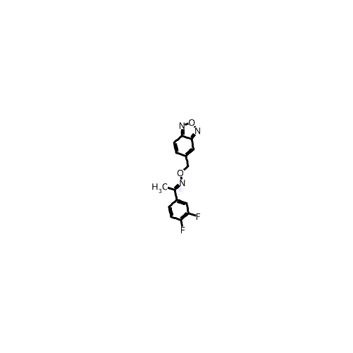 C/C(=N\OCc1ccc2nonc2c1)c1ccc(F)c(F)c1